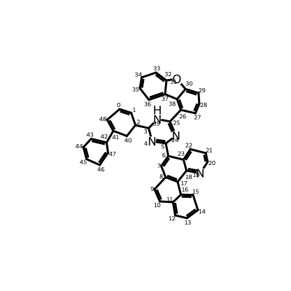 C1=CC(C2N=C(c3cc4ccc5ccccc5c4c4ncccc34)N=C(c3cccc4oc5ccccc5c34)N2)CC(c2ccccc2)=C1